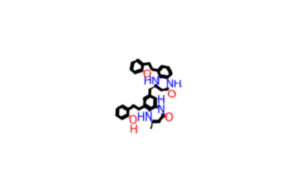 C[C@@H]1CC(=O)Nc2cc(C[C@@H]3CC(=O)Nc4cccc(C5Cc6ccccc6O5)c4N3)cc(CCc3ccccc3O)c2N1